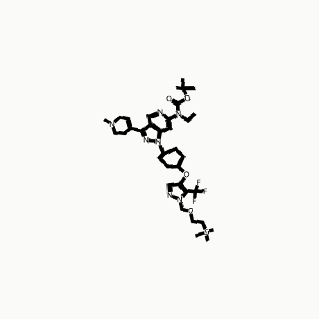 CCN(C(=O)OC(C)(C)C)c1cc2c(cn1)c(C1=CCN(C)CC1)nn2C1CCC(Oc2cnn(COCC[Si](C)(C)C)c2C(F)(F)F)CC1